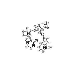 Cc1ncc2n1C1CCC2N2CCN(C(=O)C2)c2cccc3ccc(cc23)Oc2cc1ccc2C#N.Cl.Cl